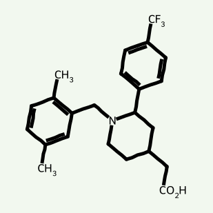 Cc1ccc(C)c(CN2CCC(CC(=O)O)CC2c2ccc(C(F)(F)F)cc2)c1